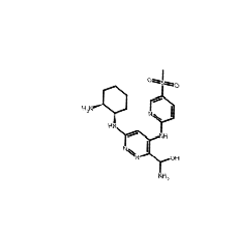 CS(=O)(=O)c1ccc(Nc2cc(N[C@@H]3CCCC[C@@H]3N)nnc2C(N)O)nc1